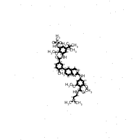 COc1cc(Nc2ncc3cc(-c4cc(C(=O)Nc5cc(C(C)(C)C)cc(NS(C)(=O)=O)c5OC)ccc4C)ccc3n2)cc(OC)c1C(=O)NCCN(C)C